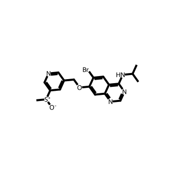 CC(C)Nc1ncnc2cc(OCc3cncc([S+](C)[O-])c3)c(Br)cc12